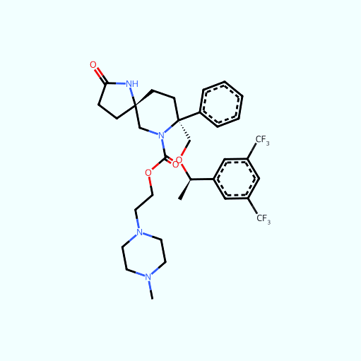 C[C@@H](OC[C@@]1(c2ccccc2)CC[C@]2(CCC(=O)N2)CN1C(=O)OCCN1CCN(C)CC1)c1cc(C(F)(F)F)cc(C(F)(F)F)c1